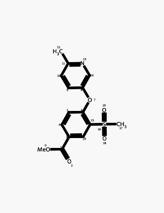 COC(=O)c1ccc(Oc2ccc(C)nc2)c(S(C)(=O)=O)c1